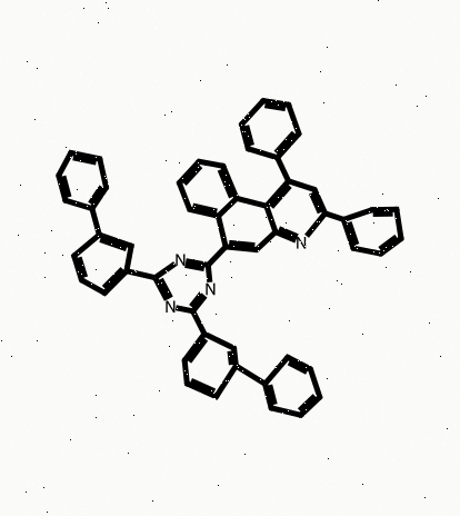 c1ccc(-c2cccc(-c3nc(-c4cccc(-c5ccccc5)c4)nc(-c4cc5nc(-c6ccccc6)cc(-c6ccccc6)c5c5ccccc45)n3)c2)cc1